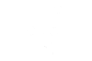 Cc1cc(-c2cc(Cl)c(OCc3ccccc3)cc2OCc2ccccc2)on1